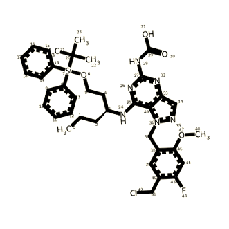 CCC[C@@H](CCO[Si](c1ccccc1)(c1ccccc1)C(C)(C)C)Nc1nc(NC(=O)O)nc2cnn(Cc3cc(CCl)c(F)cc3OC)c12